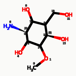 COC1C(O)[C@H](N)C(O)C(CO)[C@H]1O